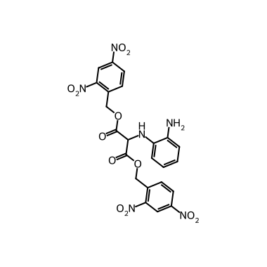 Nc1ccccc1NC(C(=O)OCc1ccc([N+](=O)[O-])cc1[N+](=O)[O-])C(=O)OCc1ccc([N+](=O)[O-])cc1[N+](=O)[O-]